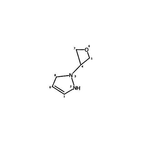 C1=CNN(C2COC2)C1